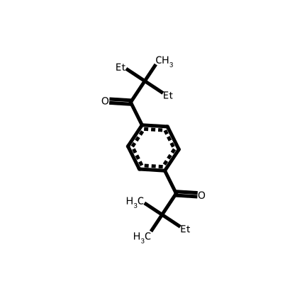 CCC(C)(C)C(=O)c1ccc(C(=O)C(C)(CC)CC)cc1